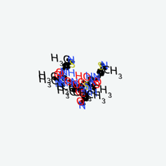 Cc1nnc([C@H](C(=O)N2C[C@H](OCc3cc([C@H](C(=O)N4C[C@H](OCc5cc([C@H](C(=O)N6C[C@H](O)C[C@H]6C(=O)NCc6ccc(-c7scnc7C)cc6)C(C)C)ns5)C[C@H]4C(=O)N[C@@H](C)c4ccc(-c5cnco5)cc4)C(C)(C)C)on3)C[C@H]2C(=O)NCc2ccc(-c3scnc3C)cc2)C(C)C)[nH]1